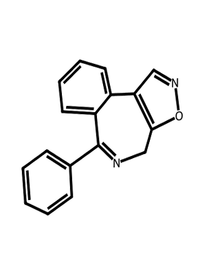 c1ccc(C2=NCc3oncc3-c3ccccc32)cc1